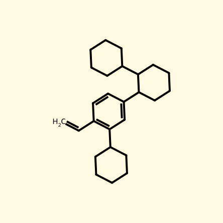 C=Cc1ccc(C2CCCCC2C2CCCCC2)cc1C1CCCCC1